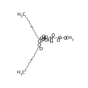 CCCCCCCC/C=C/CCCCCCCC(=O)OCC(COP(=O)(O)OCCNC(=O)CCC(=O)OCCOC)OC(=O)CCCCCCC/C=C/CCCCCCCC